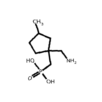 CC1CCC(CN)(CP(=O)(O)O)C1